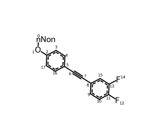 CCCCCCCCCOc1ccc(C#Cc2ccc(F)c(F)c2)cc1